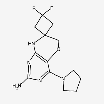 Nc1nc2c(c(N3CCCC3)n1)OCC1(CC(F)(F)C1)N2